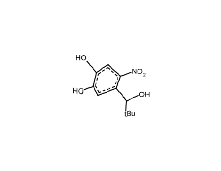 CC(C)(C)C(O)c1cc(O)c(O)cc1[N+](=O)[O-]